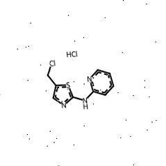 Cl.ClCc1cnc(Nc2ccccn2)s1